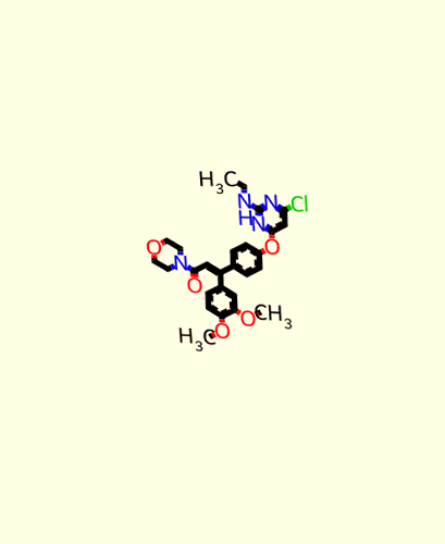 CCNc1nc(Cl)cc(Oc2ccc(C(=CC(=O)N3CCOCC3)c3ccc(OC)c(OC)c3)cc2)n1